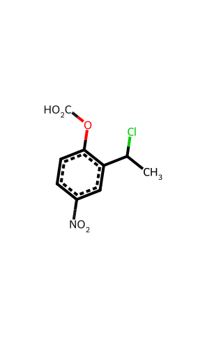 CC(Cl)c1cc([N+](=O)[O-])ccc1OC(=O)O